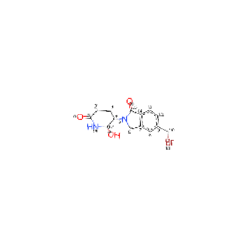 O=C1CCC(N2Cc3cc(CBr)ccc3C2=O)C(O)N1